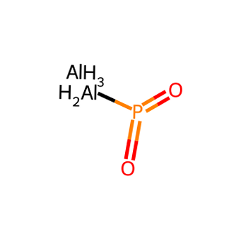 O=[P](=O)[AlH2].[AlH3]